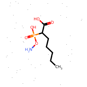 CCCCCC(C(=O)O)P(=O)(O)ON